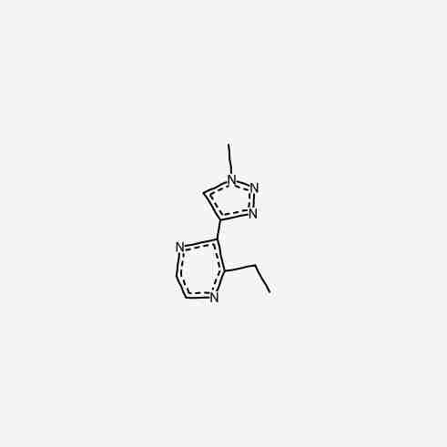 CCc1nccnc1-c1cn(C)nn1